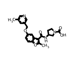 Cc1cncc(COc2ccc3oc(C)c(C(=O)NC4CCN(C(=O)O)C4)c3c2)c1